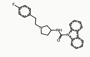 O=C(NC1CCN(CCc2ccc(F)cc2)C1)n1c2ccccc2c2ccccc21